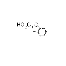 O=C(O)C1Cc2c[c]ccc2O1